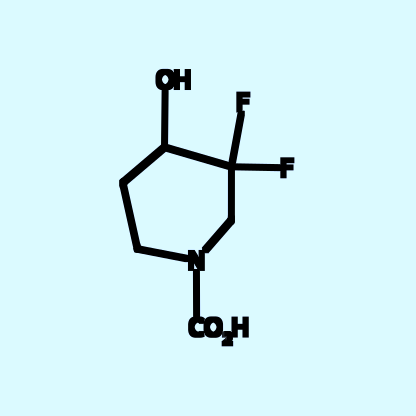 O=C(O)N1CCC(O)C(F)(F)C1